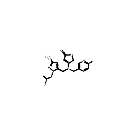 Cc1cc(CN(Cc2ccc(F)nc2)C2=CC(=O)OC2)n(CC(F)F)n1